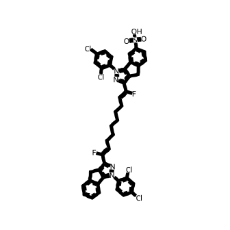 O=S(=O)(O)c1ccc2c(c1)-c1c(c(/C(F)=C/CCCCCC/C=C(\F)c3nn(-c4ccc(Cl)cc4Cl)c4c3Cc3ccccc3-4)nn1-c1ccc(Cl)cc1Cl)C2